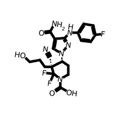 N#C[C@]1(CCCO)[C@H](n2cc(C(N)=O)c(Nc3ccc(F)cc3)n2)CCN(C(=O)O)C1(F)F